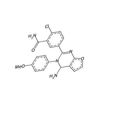 COc1ccc(N2C(c3ccc(Cl)c(C(N)=O)c3)=Nc3occc3C2N)cc1